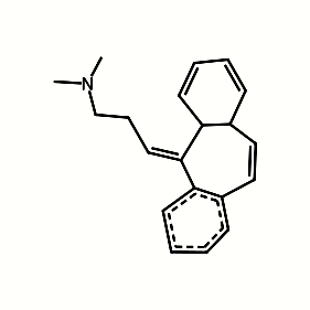 CN(C)CC/C=C1/c2ccccc2C=CC2C=CC=CC12